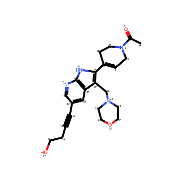 CC(=O)N1CC=C(c2[nH]c3ncc(C#CCCO)cc3c2CN2CCOCC2)CC1